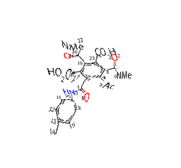 CNC(=O)c1c(C(C)=O)c(C(=O)Nc2ccc(C)cc2)c(C(=O)O)c(C(=O)NC)c1C(=O)O